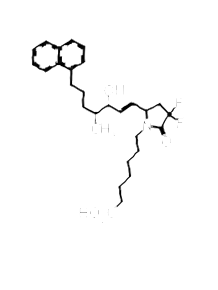 C[C@@H](CCCc1cccc2ccccc12)[C@H](O)C=CC1CC(F)(F)C(=O)N1CCCCCCC(=O)O